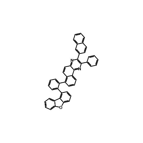 c1ccc(-c2nc3c(ccc4c(-c5ccccc5-c5cccc6oc7ccccc7c56)cccc43)nc2-c2ccc3ccccc3c2)cc1